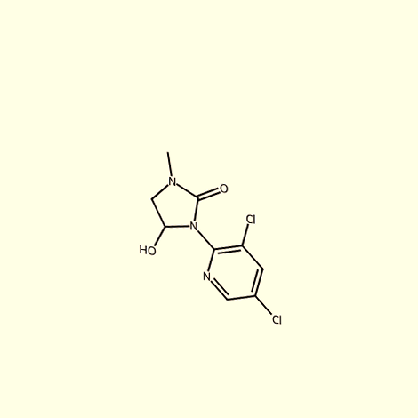 CN1CC(O)N(c2ncc(Cl)cc2Cl)C1=O